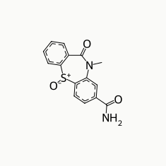 CN1C(=O)c2ccccc2[S+]([O-])c2ccc(C(N)=O)cc21